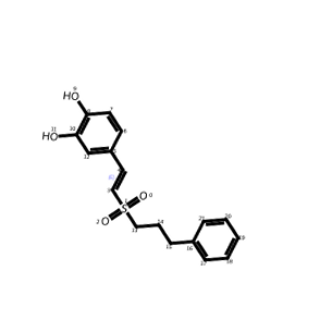 O=S(=O)(/C=C/c1ccc(O)c(O)c1)CCCc1ccccc1